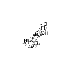 OC1(c2ccc(Cl)cc2)CCN(CCC=C2c3cnccc3COc3ccccc32)CC1